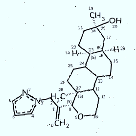 C=C(Cn1cccn1)[C@H]1OCCC2C3CC[C@@H]4C[C@](C)(O)CC[C@@H]4C3CC[C@@]21C